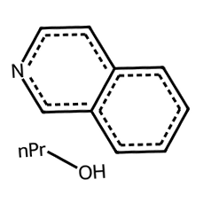 CCCO.c1ccc2cnccc2c1